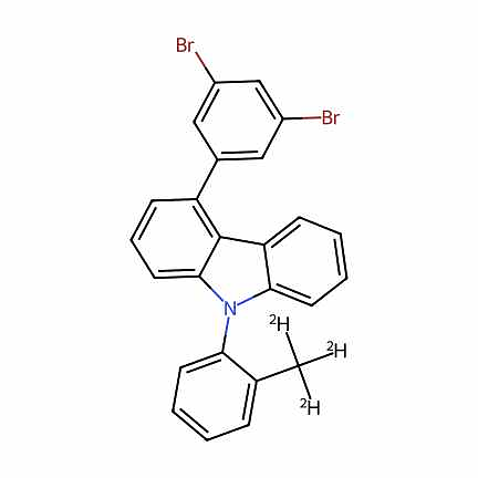 [2H]C([2H])([2H])c1ccccc1-n1c2ccccc2c2c(-c3cc(Br)cc(Br)c3)cccc21